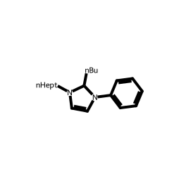 CCCCCCCN1C=CN(c2ccccc2)C1CCCC